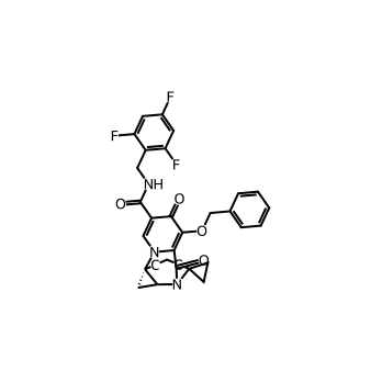 O=C(NCc1c(F)cc(F)cc1F)c1cn2c(c(OCc3ccccc3)c1=O)C(=O)N1C3C[C@]32CCCC12CC2